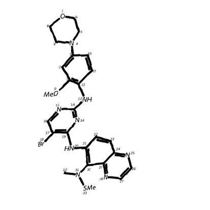 COc1cc(N2CCOCC2)ccc1Nc1ncc(Br)c(Nc2ccc3nccnc3c2N(C)SC)n1